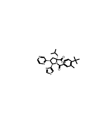 Cc1cc(C(=O)N2[C@@H](c3cscn3)[C@@H](c3cnccn3)C[C@@]2(CC(C)C)C(=O)O)ccc1C(C)(C)C